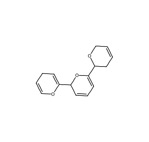 C1=CC(C2=CCC=CO2)OC(C2CC=CCO2)=C1